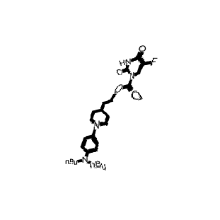 CCCCN(CCCC)c1ccc(N2CCC(CCOC(=O)n3cc(F)c(=O)[nH]c3=O)CC2)cc1